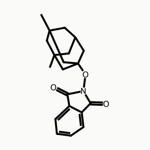 CC12CC3CC(C)(C1)CC(ON1C(=O)c4ccccc4C1=O)(C3)C2